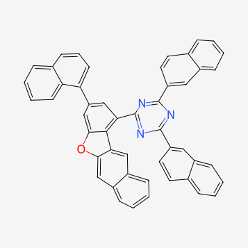 c1ccc2cc(-c3nc(-c4ccc5ccccc5c4)nc(-c4cc(-c5cccc6ccccc56)cc5oc6cc7ccccc7cc6c45)n3)ccc2c1